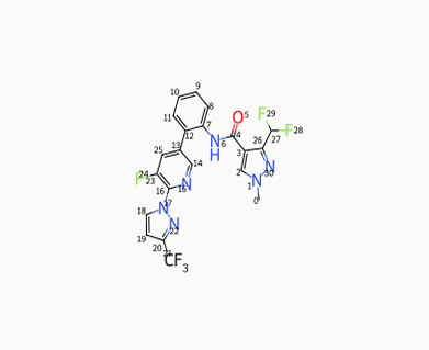 Cn1cc(C(=O)Nc2ccccc2-c2cnc(-n3ccc(C(F)(F)F)n3)c(F)c2)c(C(F)F)n1